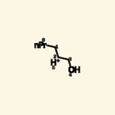 CCCCCCO.[H+]